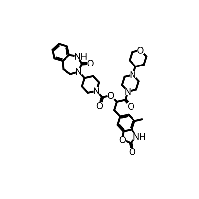 Cc1cc(CC(OC(=O)N2CCC(N3CCc4ccccc4NC3=O)CC2)C(=O)N2CCN(C3CCOCC3)CC2)cc2oc(=O)[nH]c12